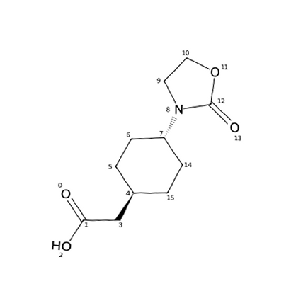 O=C(O)C[C@H]1CC[C@H](N2CCOC2=O)CC1